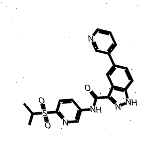 CC(C)S(=O)(=O)c1ccc(NC(=O)c2n[nH]c3ccc(-c4cccnc4)cc23)cn1